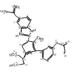 N=C(N)c1ccc2[nH]c(-c3cc(C(CC(=O)O)C(=O)O)cc(-c4cccc(OC(F)F)c4)c3O)nc2c1